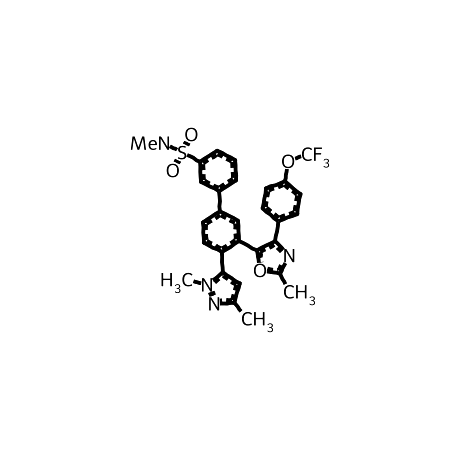 CNS(=O)(=O)c1cccc(-c2ccc(-c3cc(C)nn3C)c(-c3oc(C)nc3-c3ccc(OC(F)(F)F)cc3)c2)c1